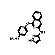 COc1ccc(Oc2nc(Nc3cc[nH]n3)cc3ccccc23)cc1